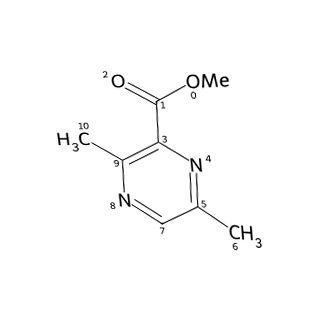 COC(=O)c1nc(C)cnc1C